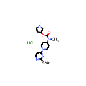 CSc1nccc(N2CCC(N(C)C(=O)OC3CCNC3)CC2)n1.Cl